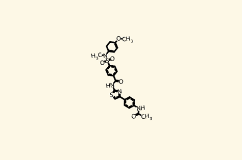 COC1=CC=C(N(C)S(=O)(=O)c2ccc(C(=O)Nc3nc(-c4ccc(NC(C)=O)cc4)cs3)cc2)CC1